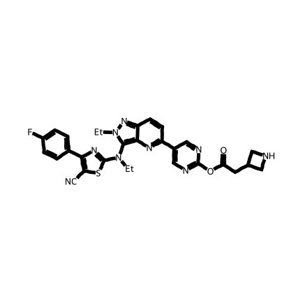 CCN(c1nc(-c2ccc(F)cc2)c(C#N)s1)c1c2nc(-c3cnc(OC(=O)CC4CNC4)nc3)ccc2nn1CC